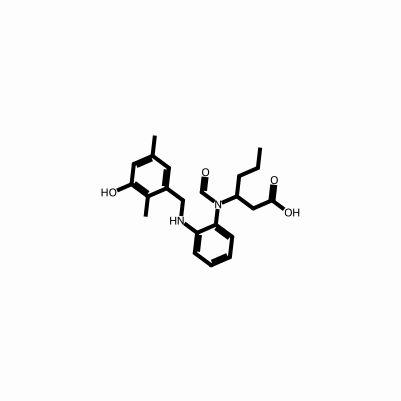 CCCC(CC(=O)O)N(C=O)c1ccccc1NCc1cc(C)cc(O)c1C